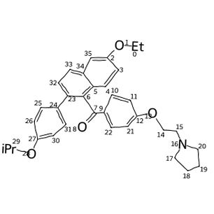 CCOc1ccc2c(C(=O)c3ccc(OCCN4CCCC4)cc3)c(-c3ccc(OC(C)C)cc3)ccc2c1